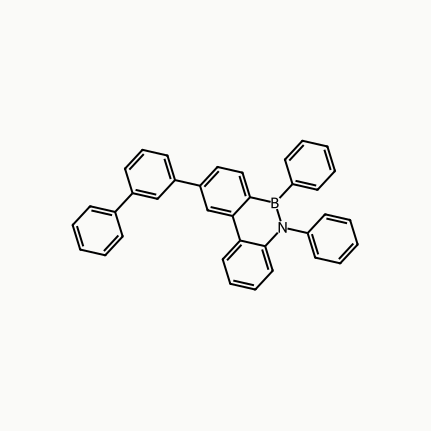 c1ccc(B2c3ccc(-c4cccc(-c5ccccc5)c4)cc3-c3ccccc3N2c2ccccc2)cc1